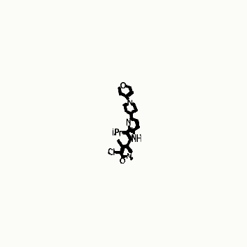 Cc1c(-c2[nH]c3ccc(C4CCN(C5CCOCC5)CC4)nc3c2C(C)C)cn(C)c(=O)c1Cl